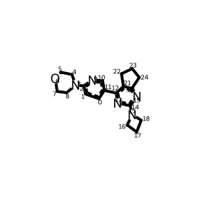 c1cc(N2CCOCC2)ncc1-c1nc(N2CCC2)nc2c1CCC2